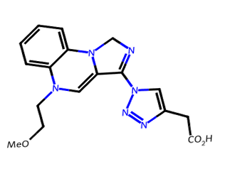 COCCN1C=C2C(n3cc(CC(=O)O)nn3)=NCN2c2ccccc21